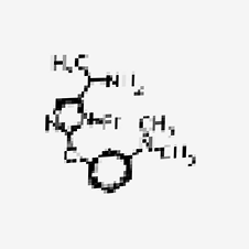 CCn1c(C(C)N)cnc1Oc1cccc(N(C)C)c1